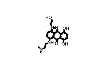 CN(C)CCNc1ccc2c3c(nn2CCO)-c2c(O)ccc(O)c2C(=O)c13